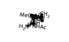 C=CC(=O)N1CCC[C@@](Cc2ccccc2)(C(=O)N[C@@H](Cc2ccc(-c3ccc(OC)nc3)cc2)C(=O)NCc2ccccc2CC(=O)N[C@@H](CCNC(C)=O)C(=O)NCCOCCN)C1